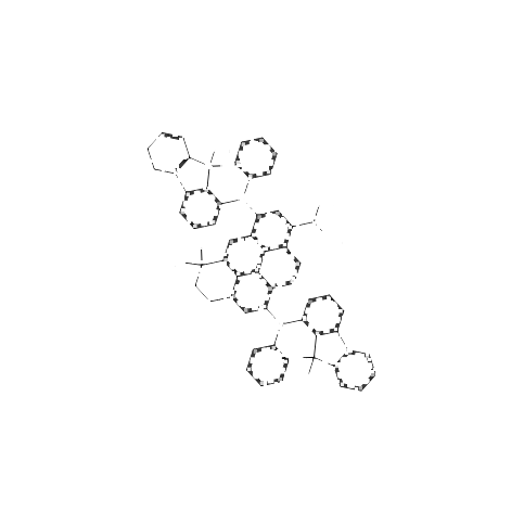 CC(C)c1cc(N(c2ccccc2)c2cccc3c2C(C)(C)C2=C3CCC=C2)c2cc3c4c(cc(N(c5ccccc5)c5cccc6c5C(C)(C)c5ccccc5-6)c5ccc1c2c54)CCC3(C)C